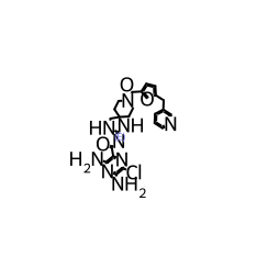 Nc1nc(N)c(C(=O)/N=C2\NCC3(CCN(C(=O)c4ccc(Cc5cccnc5)o4)CC3)N2)nc1Cl